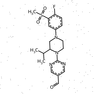 CC(C)C1CN(c2ccc(F)c(S(C)(=O)=O)c2)CCN1c1ncc(C=O)cn1